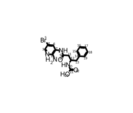 Nc1ncc(Br)cc1NC(=O)CC(Cc1ccccc1)NC(=O)O